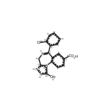 O=C(O)c1ccc2c(c1)C(c1ccccc1Cl)=NCc1nnc(O)n1-2